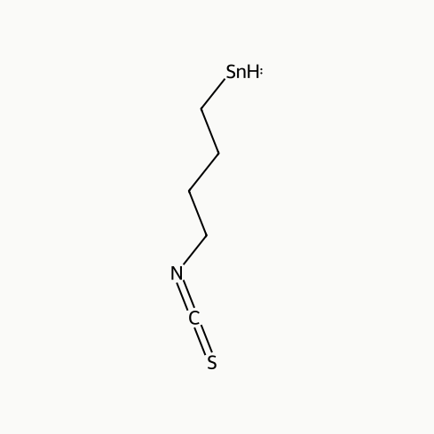 S=C=NCCC[CH2][SnH]